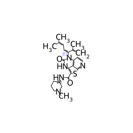 C=C(C)/C(=C\C=C(C)C)N1C(=O)Nc2c(C(=O)N[C@@H]3CCCN(C)C3)sc3nccc1c23